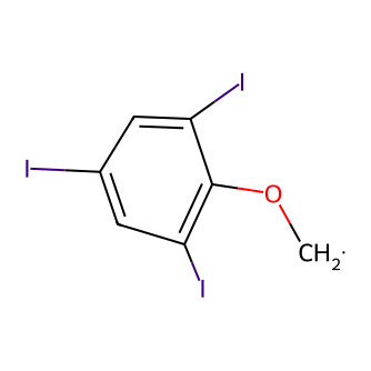 [CH2]Oc1c(I)cc(I)cc1I